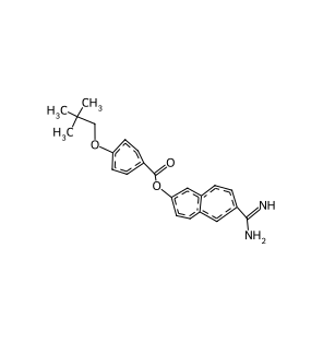 CC(C)(C)COc1ccc(C(=O)Oc2ccc3cc(C(=N)N)ccc3c2)cc1